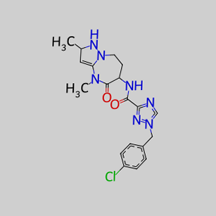 CC1C=C2N(CCC(NC(=O)c3ncn(Cc4ccc(Cl)cc4)n3)C(=O)N2C)N1